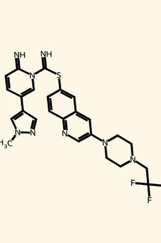 Cn1cc(-c2ccc(=N)n(C(=N)Sc3ccc4ncc(N5CCN(CC(F)(F)F)CC5)cc4c3)c2)cn1